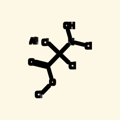 O=C(OCl)C(Cl)(Cl)N(O)Cl.[Al]